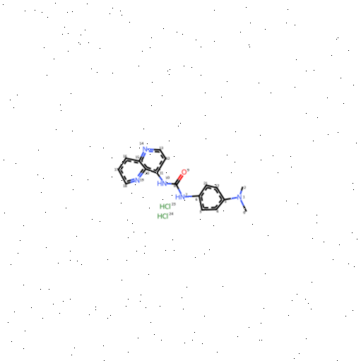 CN(C)c1ccc(NC(=O)Nc2ccnc3cccnc23)cc1.Cl.Cl